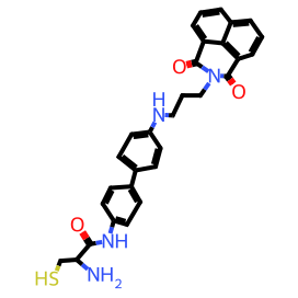 NC(CS)C(=O)Nc1ccc(-c2ccc(NCCCN3C(=O)c4cccc5cccc(c45)C3=O)cc2)cc1